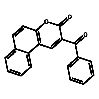 O=C(c1ccccc1)c1cc2c(ccc3ccccc32)oc1=O